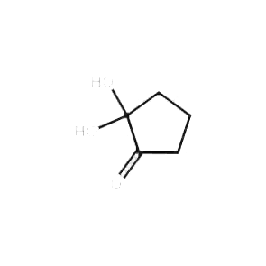 O=C1CCCC1(O)O